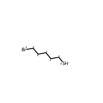 SCCCCCBr